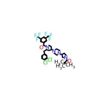 CC(C)(C)C(=O)N1CCC(N2CCN(C3CCN(C(=O)c4cc(C(F)(F)F)cc(C(F)(F)F)c4)C(Cc4ccc(Cl)c(Cl)c4)C3)CC2)C1